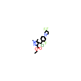 CCOC(=O)c1nn(C)c(C)c1C(Cl)c1ccc(N2CCC(F)(F)C2)cc1F